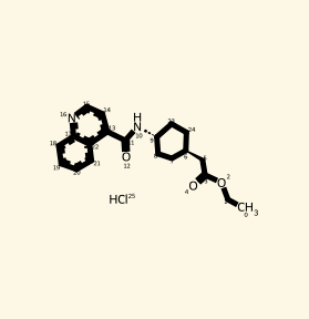 CCOC(=O)C[C@H]1CC[C@H](NC(=O)c2ccnc3ccccc23)CC1.Cl